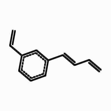 C=CC=Cc1cccc(C=C)c1